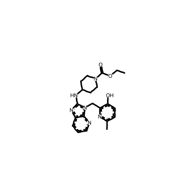 CCOC(=O)N1CCC(Nc2nc3cccnc3n2Cc2nc(C)ccc2O)CC1